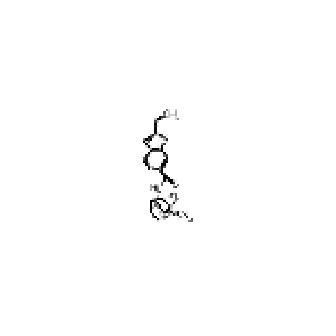 C=Cc1cc2cnc(C(=O)N[C@@H]3C4CCN(CC4)[C@H]3C)cc2s1